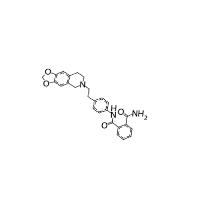 NC(=O)c1ccccc1C(=O)Nc1ccc(CCN2CCc3cc4c(cc3C2)OCO4)cc1